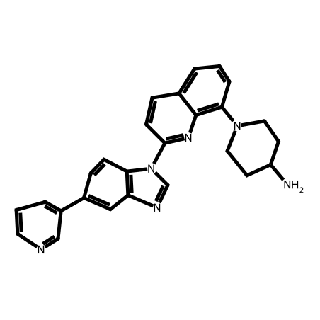 NC1CCN(c2cccc3ccc(-n4cnc5cc(-c6cccnc6)ccc54)nc23)CC1